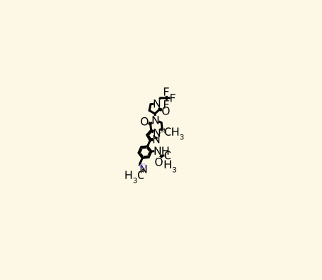 C/N=C/c1ccc(-c2cc3n(n2)[C@@H](C)CN(C2CCN(CC(F)(F)F)C2=O)C3=O)c(NC(C)=O)c1